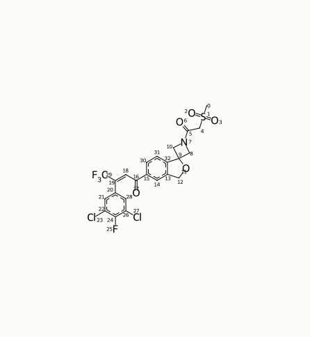 CS(=O)(=O)CC(=O)N1CC2(C1)OCc1cc(C(=O)/C=C(\c3cc(Cl)c(F)c(Cl)c3)C(F)(F)F)ccc12